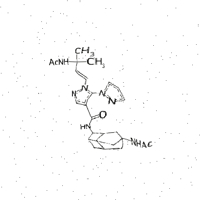 CC(=O)NC(C)(C)/C=C/n1ncc(C(=O)NC2C3CC4CC2CC(NC(C)=O)(C4)C3)c1-n1cccn1